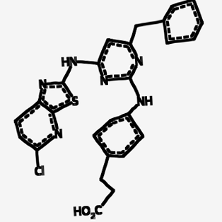 O=C(O)CCc1ccc(Nc2nc(Cc3ccccc3)cc(Nc3nc4ccc(Cl)nc4s3)n2)cc1